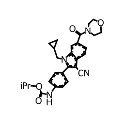 CC(C)OC(=O)Nc1ccc(-c2c(C#N)c3ccc(C(=O)N4CCOCC4)cc3n2CC2CC2)cc1